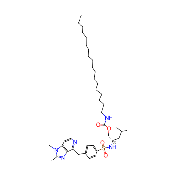 CCCCCCCCCCCCCCCCCCNC(=O)OC[C@H](CC(C)C)NS(=O)(=O)c1ccc(Cc2nccc3c2nc(C)n3C)cc1